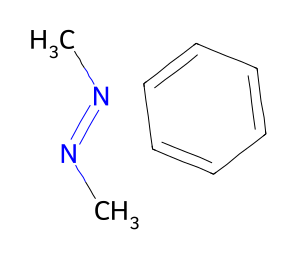 CN=NC.c1ccccc1